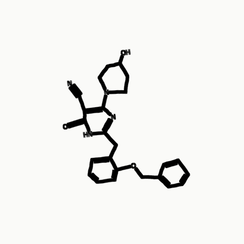 N#Cc1c(N2CCC(O)CC2)nc(Cc2ccccc2OCc2ccccc2)[nH]c1=O